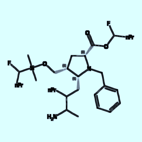 CCCC(F)OC(=O)[C@H]1C[C@@H](CO[Si](C)(C)C(F)CCC)[C@@H](CC(CCC)C(C)N)N1Cc1ccccc1